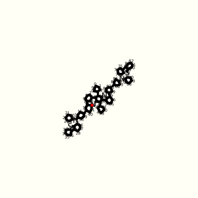 c1ccc(-c2c3c4cccc5c6cc(-c7ccc(N(c8ccccc8)c8cccc9c8sc8ccccc89)cc7)ccc6n(c3c(-c3ccccc3)c3c6cccc7c8cc(-c9ccc(N(c%10ccccc%10)c%10cccc%11c%10sc%10ccccc%10%11)cc9)ccc8n(c23)c76)c54)cc1